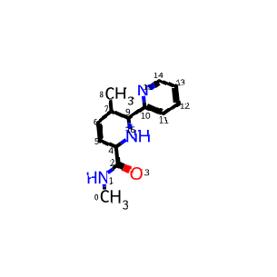 CNC(=O)C1C=CC(C)C(c2ccccn2)N1